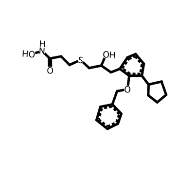 O=C(CCSCC(O)Cc1cccc(C2CCCC2)c1OCc1ccccc1)NO